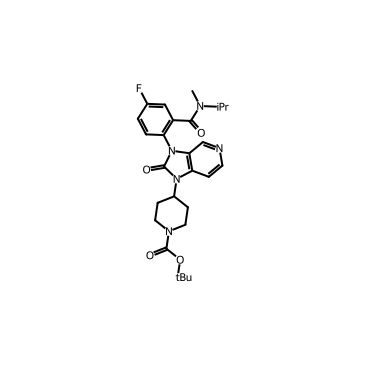 CC(C)N(C)C(=O)c1cc(F)ccc1-n1c(=O)n(C2CCN(C(=O)OC(C)(C)C)CC2)c2ccncc21